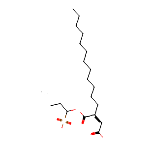 CCCCCCCCCCCCC(=CC(=O)[O-])C(=O)OC(CC)S(=O)(=O)O.[Na+]